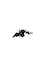 N#Cc1ccc2c3c([nH]c2c1)C1(CCCC1)c1cc(OCCCO)ccc1C3=O